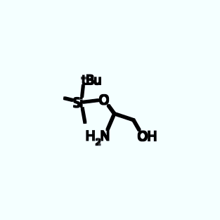 CC(C)(C)[Si](C)(C)OC(N)CO